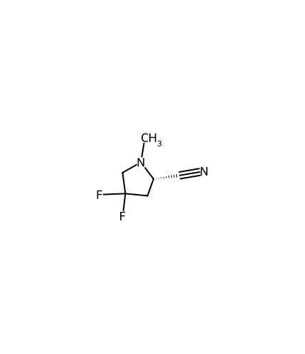 CN1CC(F)(F)C[C@H]1C#N